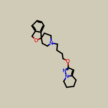 c1ccc2c(c1)COC21CCN(CCCCOc2cc3n(n2)CCCC3)CC1